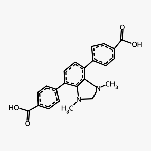 CN1CN(C)c2c(-c3ccc(C(=O)O)cc3)ccc(-c3ccc(C(=O)O)cc3)c21